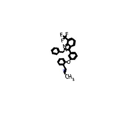 C/C=C/c1ccccc1Oc1cccc(-c2c3cccc(C(F)(F)F)c3nn2Cc2ccccc2)c1